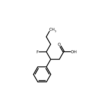 CCCC(F)C(CC(=O)O)c1ccccc1